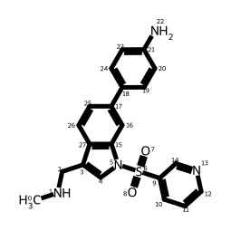 CNCc1cn(S(=O)(=O)c2cccnc2)c2cc(-c3ccc(N)cc3)ccc12